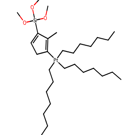 CCCCCC[CH2][Pt]([CH2]CCCCCC)([CH2]CCCCCC)[C]1=C(C)C([Si](OC)(OC)OC)=CC1